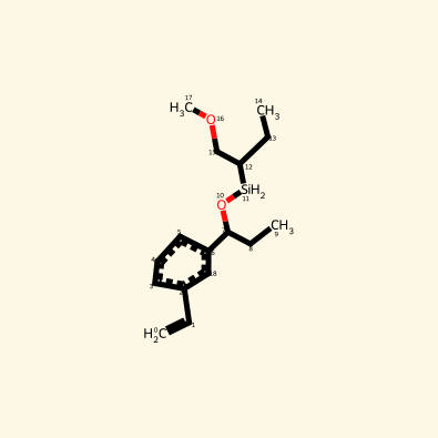 C=Cc1cccc(C(CC)O[SiH2]C(CC)COC)c1